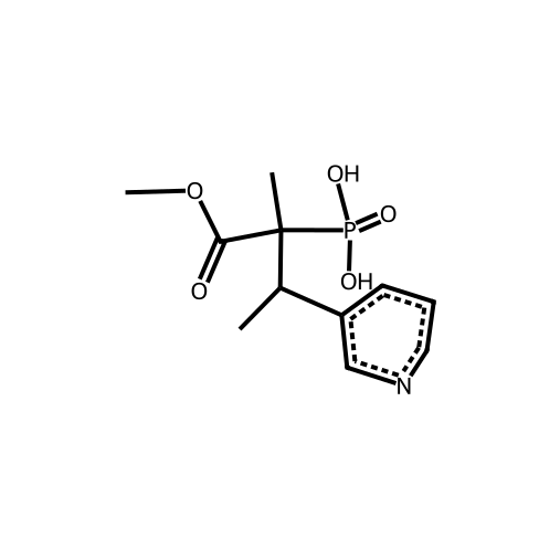 COC(=O)C(C)(C(C)c1cccnc1)P(=O)(O)O